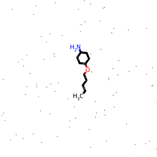 CCCCCOC1CCC(N)CC1